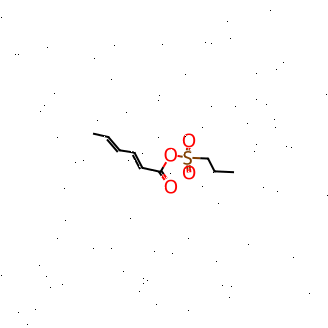 C/C=C/C=C/C(=O)OS(=O)(=O)CCC